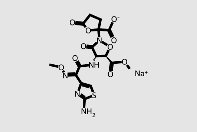 CO/N=C(\C(=O)N[C@@H]1C(=O)N(C2(C(=O)[O-])CCC(=O)O2)O[C@H]1C(=O)OC)c1csc(N)n1.[Na+]